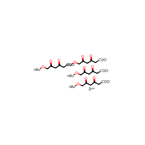 CCCCOCC(=O)CC(=O)CC(=O)[O-].CCCCOCC(=O)CC(=O)CC(=O)[O-].CCCCOCC(=O)CC(=O)CC(=O)[O-].CCCCOCC(=O)CC(=O)CC(=O)[O-].[Zr+4]